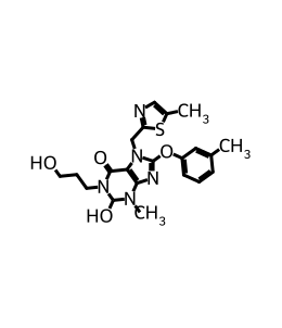 Cc1cccc(Oc2nc3c(n2Cc2ncc(C)s2)C(=O)N(CCCO)C(O)N3C)c1